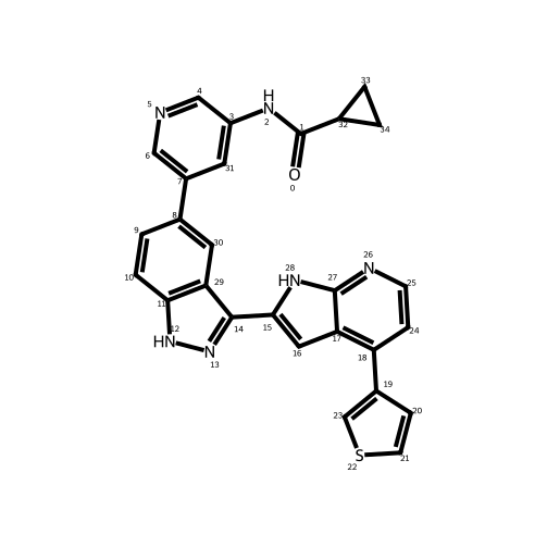 O=C(Nc1cncc(-c2ccc3[nH]nc(-c4cc5c(-c6ccsc6)ccnc5[nH]4)c3c2)c1)C1CC1